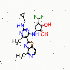 Cc1nc(NCC2CC2)nc(NC2C[C@H](C(F)F)[C@@H](O)[C@H]2O)c1-c1nc2c(C)nccc2s1